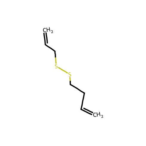 C=CCCSSCC=C